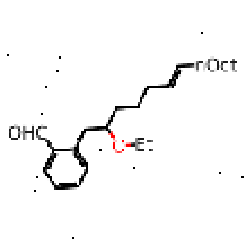 CCCCCCCCC=CCCCC(Cc1ccccc1C=O)OCC